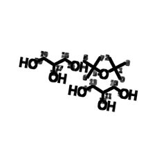 CC(C)(C)OC(C)(C)C.OCC(O)CO.OCC(O)CO